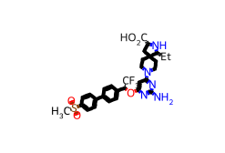 CCC1NC(C(=O)O)CC12CCN(c1cc(O[C@H](c3ccc(-c4ccc(S(C)(=O)=O)cc4)cc3)C(F)(F)F)nc(N)n1)CC2